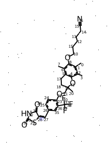 Cc1c(C)c2c(c(C)c1OCCCCCC#N)CCC(C)(COc1ccc(/C=C3/SC(=O)NC3=O)cc1C(F)(F)F)O2